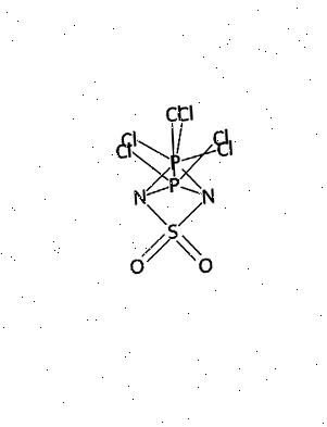 O=S1(=O)N2P(Cl)(Cl)(Cl)N1P2(Cl)(Cl)Cl